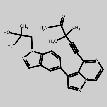 CC(C)(O)Cn1ncc2cc(-c3cnn4ccnc(C#CC(C)(C)C(N)=O)c34)ccc21